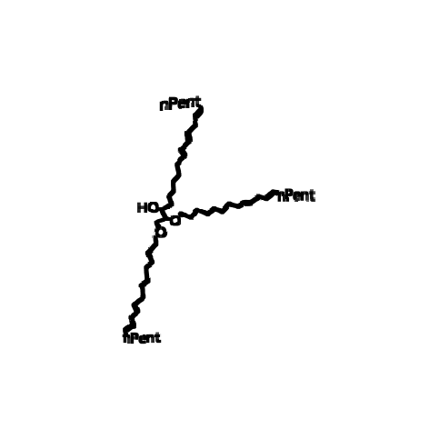 CCCCCC=CCC=CCCCCCCCCOCC(OCCCCCCCCC=CCC=CCCCCC)C(O)CCCCCCCCC=CCC=CCCCCC